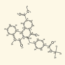 COC(=O)c1ccc2c(=O)n(Cc3ccc(C(=O)OC(C)(C)C)cc3)c(C(=O)OC)c(-c3ccccc3)c2c1